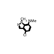 CNc1ccc(Cl)c2cnn(C)c12